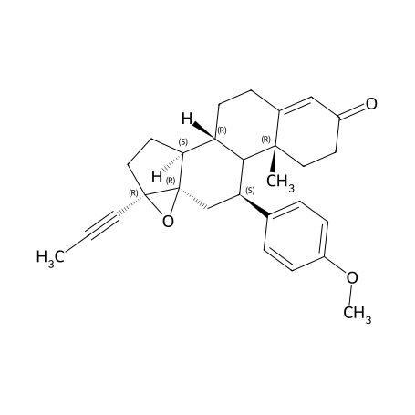 CC#C[C@]12CC[C@H]3[C@@H]4CCC5=CC(=O)CC[C@]5(C)C4[C@@H](c4ccc(OC)cc4)C[C@@]31O2